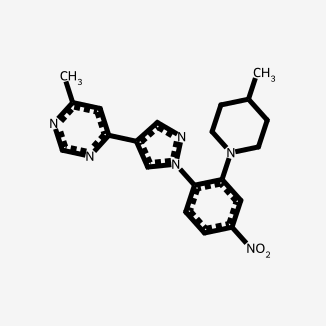 Cc1cc(-c2cnn(-c3ccc([N+](=O)[O-])cc3N3CCC(C)CC3)c2)ncn1